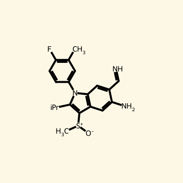 Cc1cc(-n2c(C(C)C)c([S+](C)[O-])c3cc(N)c(C=N)cc32)ccc1F